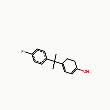 CC(C)c1ccc(C(C)(C)C2=CC=C(O)CC2)cc1